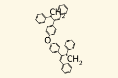 C=C(C(=Cc1ccccc1)c1ccc(Oc2ccc(C(=Cc3ccccc3)C(=C)c3ccccc3)cc2)cc1)c1ccccc1